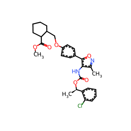 COC(=O)C1CCCCC1COc1ccc(-c2onc(C)c2NC(=O)O[C@H](C)c2ccccc2Cl)cc1